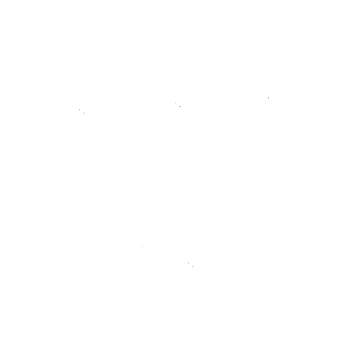 c1ccc(N(c2ccccc2)c2cc3c4c(c2)N(c2ccccc2)c2cc(N(c5ccccc5)c5ccccc5)c5ccccc5c2B4c2cc4c5ccccc5n(-c5ccccc5)c4cc2O3)cc1